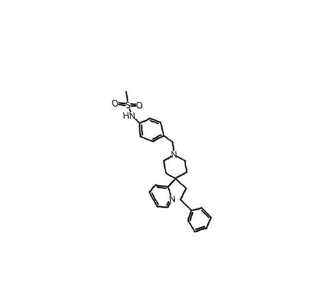 CS(=O)(=O)Nc1ccc(CN2CCC(CCc3ccccc3)(c3ccccn3)CC2)cc1